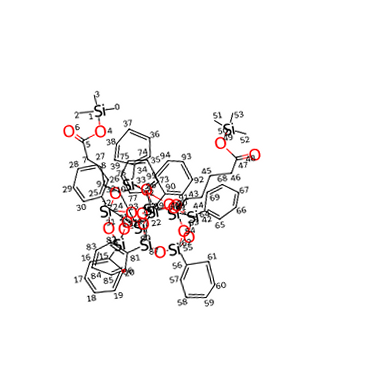 C[Si](C)(C)OC(=O)CCCC[Si]1(C)O[Si]2(c3ccccc3)OC34O[Si](c5ccccc5)(O2)O[Si]2(c5ccccc5)O[Si](C)(CCCCC(=O)O[Si](C)(C)C)O[Si]5(c6ccccc6)O[Si](c6ccccc6)(O[Si](c6ccccc6)(O1)O[Si]3(c1ccccc1)O5)O[Si]4(c1ccccc1)O2